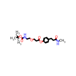 CNC(=O)CCc1ccc(OC(=O)CCOCCNC(=O)OC(C)(C)C)cc1